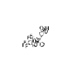 CO[C@H]1NOCC12CCC(C[C@@H]1CCO[C@H](O[C@H](C)c3cc(C(F)(F)F)cc(C(F)(F)F)c3)[C@H]1c1ccccc1)CC2